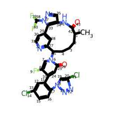 CC1CCCC(n2cc(F)c(-c3cc(Cl)ccc3-n3cc(Cl)nn3)cc2=O)c2cc(ccn2)-c2c(cnn2C(F)F)NC1=O